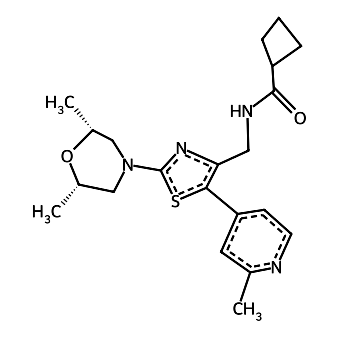 Cc1cc(-c2sc(N3C[C@@H](C)O[C@@H](C)C3)nc2CNC(=O)C2CCC2)ccn1